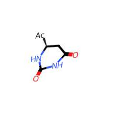 CC(=O)[C@H]1CC(=O)NC(=O)N1